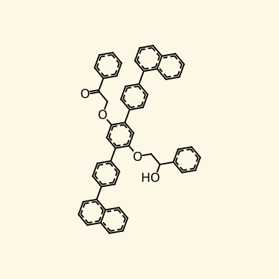 O=C(COc1cc(-c2ccc(-c3cccc4ccccc34)cc2)c(OCC(O)c2ccccc2)cc1-c1ccc(-c2cccc3ccccc23)cc1)c1ccccc1